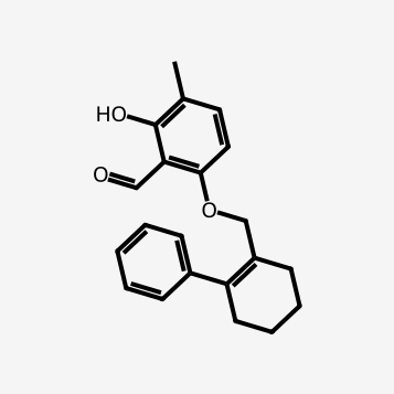 Cc1ccc(OCC2=C(c3ccccc3)CCCC2)c(C=O)c1O